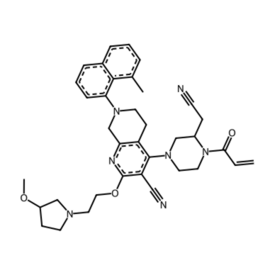 C=CC(=O)N1CCN(c2c(C#N)c(OCCN3CCC(OC)C3)nc3c2CCN(c2cccc4cccc(C)c24)C3)CC1CC#N